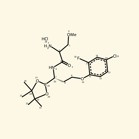 COCC(N)C(=O)N[C@H](CCOc1ccc(Cl)cc1F)B1OC(C)(C)C(C)(C)O1.Cl